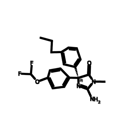 CCCc1cccc([C@@]2(c3ccc(OC(F)F)cc3)N=C(N)N(C)C2=O)c1